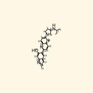 CC(C)N[C@H]1CCN(c2ccc3nc(-c4cc5cn(C)nc5cc4O)ccc3n2)C1